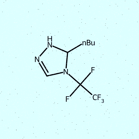 CCCCC1NN=CN1C(F)(F)C(F)(F)F